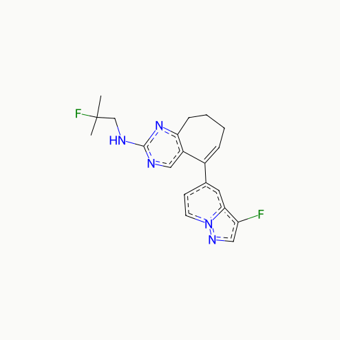 CC(C)(F)CNc1ncc2c(n1)CCCC=C2c1ccn2ncc(F)c2c1